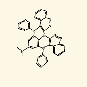 CN(C)c1cc2c3c(c1)N(c1ccccc1)c1c(nnc4ccccc14)B3c1nnc3ccccc3c1N2c1ccccc1